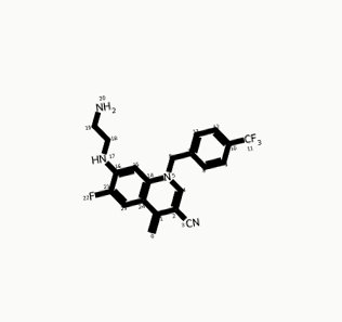 C=C1C(C#N)=CN(Cc2ccc(C(F)(F)F)cc2)c2cc(NCCN)c(F)cc21